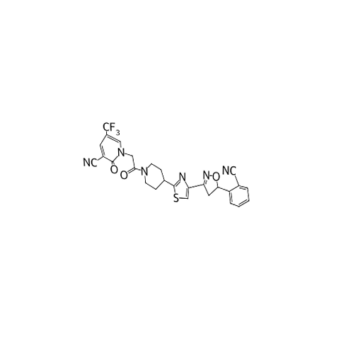 N#Cc1ccccc1C1CC(c2csc(C3CCN(C(=O)Cn4cc(C(F)(F)F)cc(C#N)c4=O)CC3)n2)=NO1